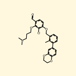 Cc1c(COc2ccc(C=O)c(OCCCN(C)C)c2Cl)cccc1-c1ccc2c(c1)OCCO2